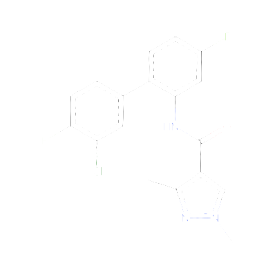 Cc1nn(C)cc1C(=O)Nc1cc(F)ccc1-c1ccc(F)c(Cl)c1